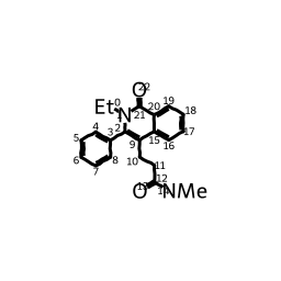 CCn1c(-c2ccccc2)c(CCC(=O)NC)c2ccccc2c1=O